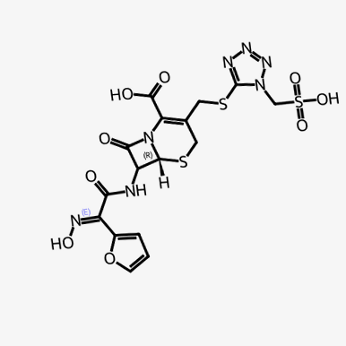 O=C(O)C1=C(CSc2nnnn2CS(=O)(=O)O)CS[C@@H]2C(NC(=O)/C(=N/O)c3ccco3)C(=O)N12